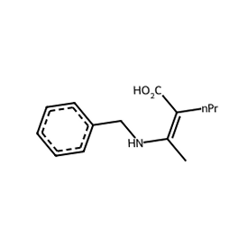 CCCC(C(=O)O)=C(C)NCc1ccccc1